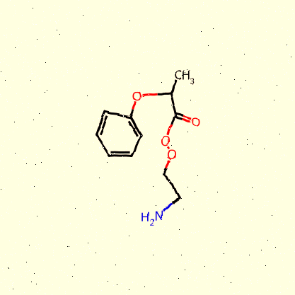 CC(Oc1ccccc1)C(=O)OOCCN